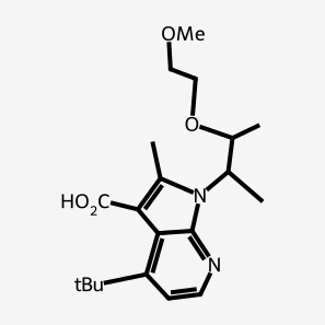 COCCOC(C)C(C)n1c(C)c(C(=O)O)c2c(C(C)(C)C)ccnc21